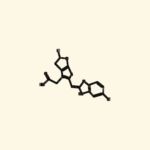 O=C(O)C[n+]1c(/C=C2/Nc3cc(Cl)ccc3O2)sc2c1CC(Cl)O2